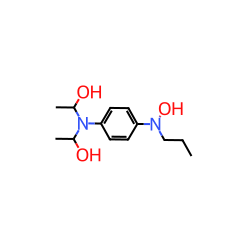 CCCN(O)c1ccc(N(C(C)O)C(C)O)cc1